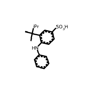 CC(C)C(C)(C)c1cc(S(=O)(=O)O)ccc1Nc1ccccc1